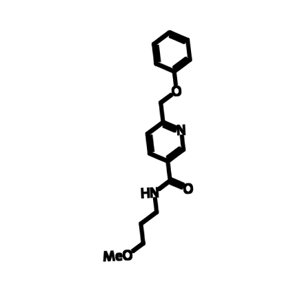 COCCCNC(=O)c1ccc(COc2ccccc2)nc1